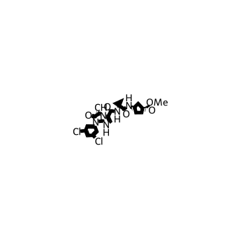 COC(=O)[C@H]1CC[C@@H](NC(=O)C2(NC(=O)C3=CNC4N(c5cc(Cl)cc(Cl)c5)C(=O)[C@H](C)N34)CC2)C1